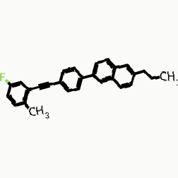 CCCc1ccc2cc(-c3ccc(C#Cc4cc(F)ccc4C)cc3)ccc2c1